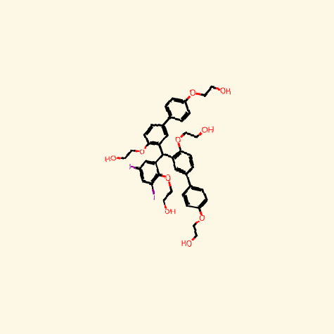 OCCOc1ccc(-c2ccc(OCCO)c(C(c3cc(-c4ccc(OCCO)cc4)ccc3OCCO)c3cc(I)cc(I)c3OCCO)c2)cc1